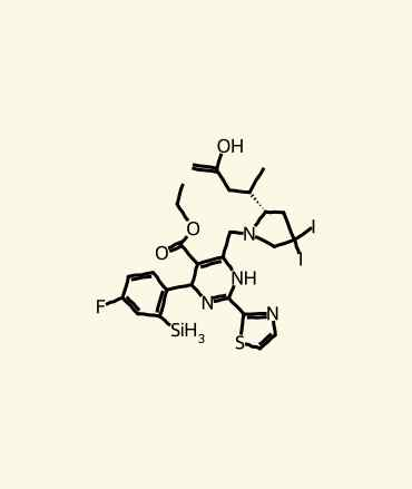 C=C(O)CC(C)[C@@H]1CC(I)(I)CN1CC1=C(C(=O)OCC)C(c2ccc(F)cc2[SiH3])N=C(c2nccs2)N1